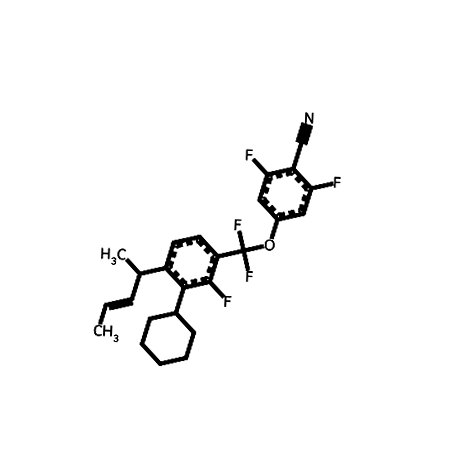 C/C=C/C(C)c1ccc(C(F)(F)Oc2cc(F)c(C#N)c(F)c2)c(F)c1C1CCCCC1